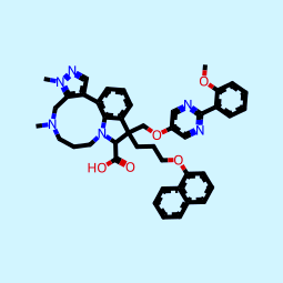 COc1ccccc1-c1ncc(OCC2(CCCOc3cccc4ccccc34)c3cccc4c3N(CCCN(C)Cc3c-4cnn3C)C2C(=O)O)cn1